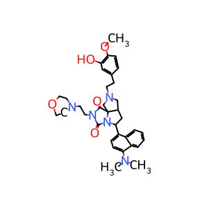 COc1ccc(CCN2CC3CC(c4ccc(N(C)C)c5ccccc45)N4C(=O)N(CCN5CCOCC5)C(=O)C34C2)cc1O